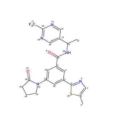 Cc1cnc(-c2cc(C(=O)NC(C)c3cnc(C(F)(F)F)nc3)cc(N3CCCC3=O)c2)s1